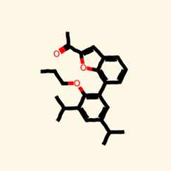 CCCOc1c(-c2cccc3cc(C(C)=O)oc23)cc(C(C)C)cc1C(C)C